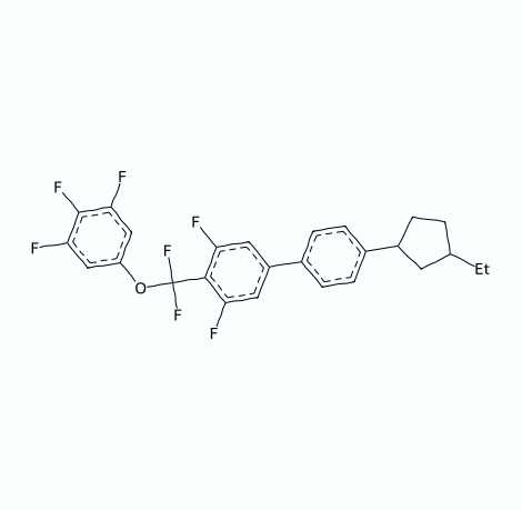 CCC1CCC(c2ccc(-c3cc(F)c(C(F)(F)Oc4cc(F)c(F)c(F)c4)c(F)c3)cc2)C1